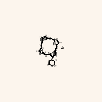 C1=CC(c2cc3cc4nc(cc5ccc(cc6nc(cc2[nH]3)C=C6)[nH]5)C=C4)CCC1.[Zn]